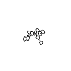 c1ccc(-c2ccc(N(c3ccc4sc5c6ccccc6ccc5c4c3)c3cccc4c3oc3ccccc34)cc2)cc1